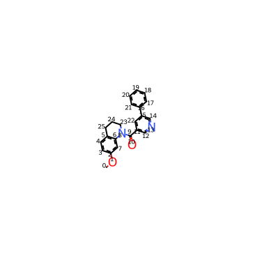 COc1ccc2c(c1)N(C(=O)c1cncc(-c3ccccc3)c1)CCC2